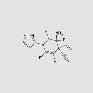 C=CC1(C#N)C(F)=C(F)C(c2cc[nH]n2)=C(F)C1(N)F